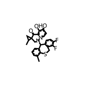 Cc1cccc2c1SCc1c(ccc(F)c1F)C2N1CC2(CC2C)C(=O)c2c(O)c(=O)ccn21